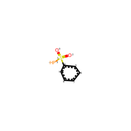 O=S(=O)([PH])c1ccccc1